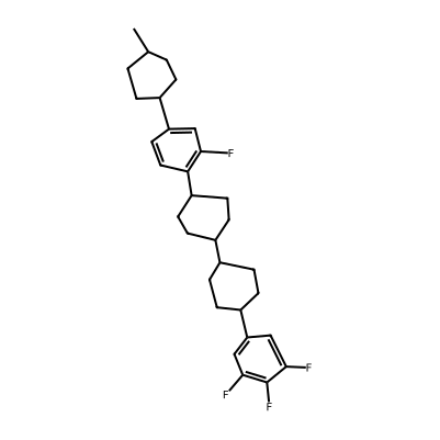 CC1CCC(c2ccc(C3CCC(C4CCC(c5cc(F)c(F)c(F)c5)CC4)CC3)c(F)c2)CC1